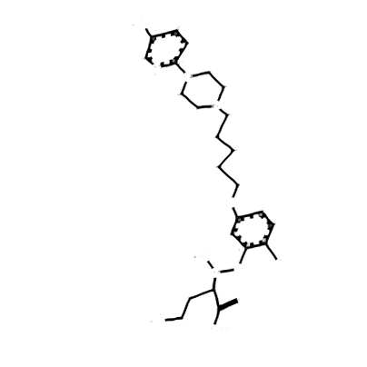 CNC(=O)C(CCC=O)N(C=O)Sc1cc(OCCCCCN2CCN(c3ccc(C=O)cn3)CC2)ccc1C